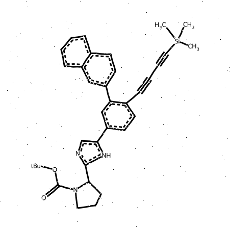 CC(C)(C)OC(=O)N1CCCC1c1ncc(-c2ccc(C#CC#C[Si](C)(C)C)c(-c3ccc4ccccc4c3)c2)[nH]1